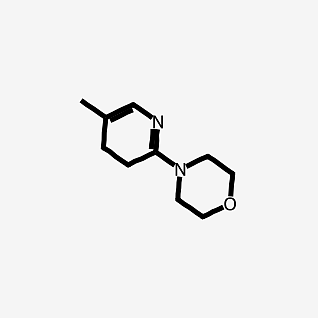 CC1=CN=C(N2CCOCC2)CC1